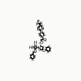 O=C(COC[C@@H]1C[C@H](Oc2ccccc2)CN1[C@H]1NNC1OCc1ccccc1)N1CCN(c2ncc(C(F)(F)F)cn2)CC1